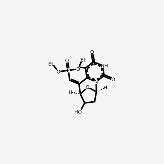 CCOP(=O)(/C=C1\c2c(C)c(=O)[nH]c(=O)n2[C@H]2CC(O)[C@@H]1O2)OCC